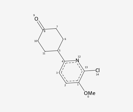 COc1ccc(C2CCC(=O)CC2)nc1Cl